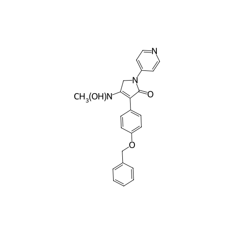 CN(O)C1=C(c2ccc(OCc3ccccc3)cc2)C(=O)N(c2ccncc2)C1